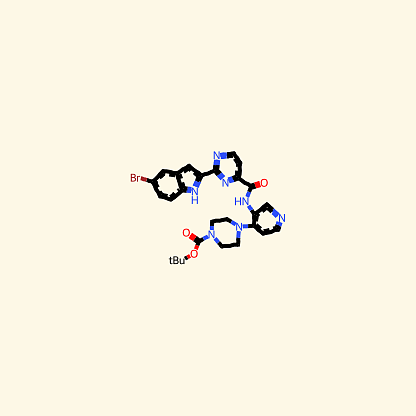 CC(C)(C)OC(=O)N1CCN(c2ccncc2NC(=O)c2ccnc(-c3cc4cc(Br)ccc4[nH]3)n2)CC1